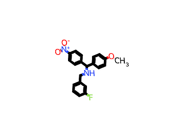 COc1ccc(C(NCc2cccc(F)c2)c2ccc([N+](=O)[O-])cc2)cc1